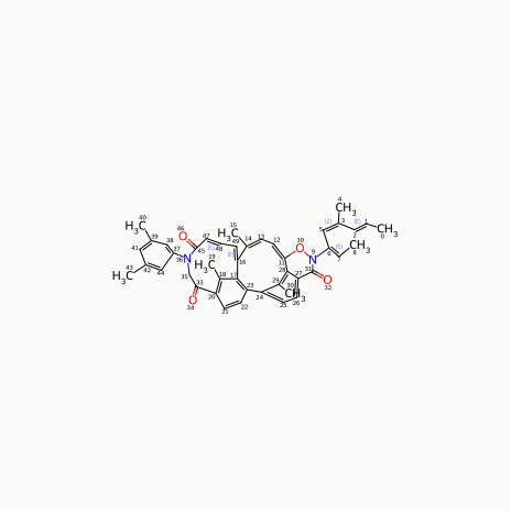 C/C=C/C(C)=C\C(=C/C)N1Oc2ccc(C)/c3c4c(C)c(ccc4c4ccc(c2c4C)C1=O)C(=O)CN(c1cc(C)cc(C)c1)C(=O)/C=C/C=3